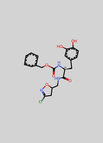 O=C(N[C@@H](Cc1ccc(O)c(O)c1)C(=O)NCC1CC(Cl)=NO1)OCc1ccccc1